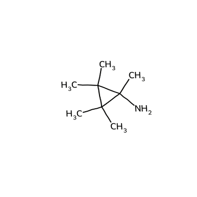 CC1(C)C(C)(C)C1(C)N